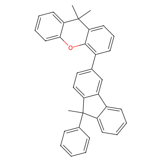 CC1(C)c2ccccc2Oc2c(-c3ccc4c(c3)-c3ccccc3C4(C)c3ccccc3)cccc21